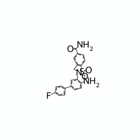 NC(=O)c1ccc2c(c1)CN(c1cc(-c3ccc(F)cc3)ccc1N)S2(=O)=O